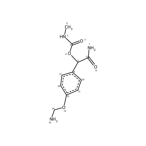 CNC(=O)OC(C(N)=O)c1ccc(OCN)cc1